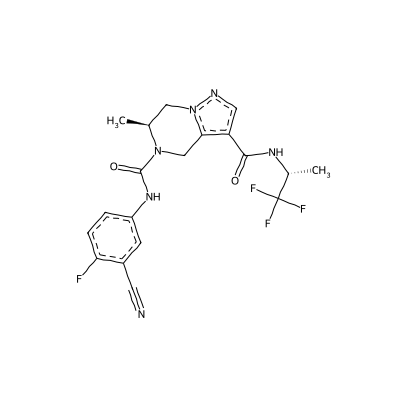 C[C@H]1Cn2ncc(C(=O)N[C@H](C)C(F)(F)F)c2CN1C(=O)Nc1ccc(F)c(C#N)c1